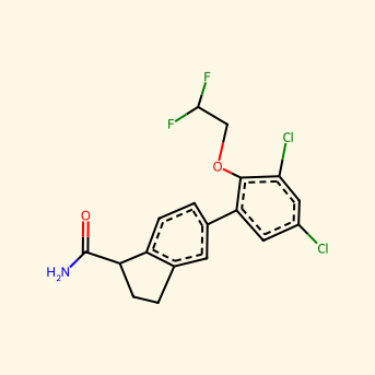 NC(=O)C1CCc2cc(-c3cc(Cl)cc(Cl)c3OCC(F)F)ccc21